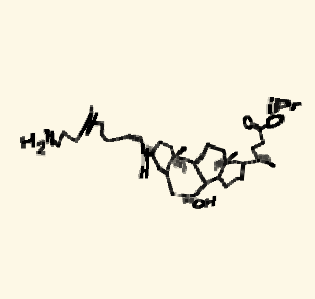 CC(C)OC(=O)CC[C@@H](C)C1CCC2C3C(CC[C@@]21C)[C@@]1(C)CC[C@H](NCCCN(C)CCCN)CC1C[C@H]3O